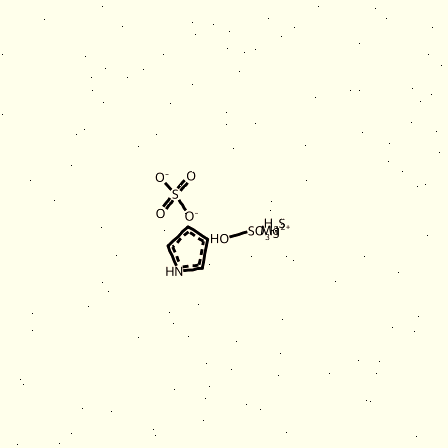 O=S(=O)(O)O.O=S(=O)([O-])[O-].S.[Mg+2].c1cc[nH]c1